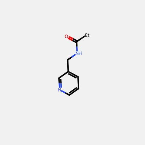 [CH2]CC(=O)NCc1cccnc1